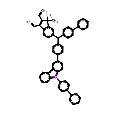 C=CC1=C(C=C)C(C)(C)c2cc(C(c3ccc(-c4ccccc4)cc3)c3ccc(-c4ccc5c(c4)c4ccccc4p5-c4ccc(-c5ccccc5)cc4)cc3)ccc21